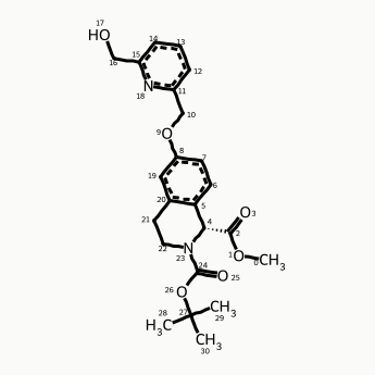 COC(=O)[C@H]1c2ccc(OCc3cccc(CO)n3)cc2CCN1C(=O)OC(C)(C)C